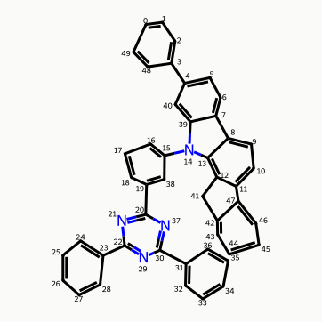 c1ccc(-c2ccc3c4ccc5c(c4n(-c4cccc(-c6nc(-c7ccccc7)nc(-c7ccccc7)n6)c4)c3c2)Cc2ccccc2-5)cc1